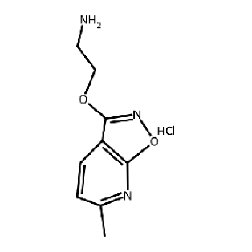 Cc1ccc2c(OCCN)noc2n1.Cl